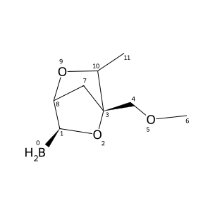 B[C@@H]1O[C@]2(COC)CC1OC2C